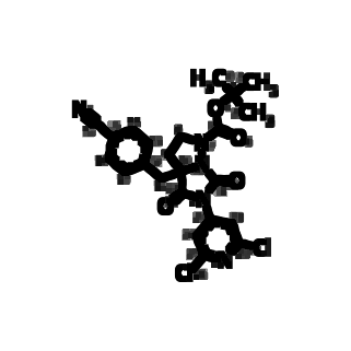 CC(C)(C)OC(=O)N1CCC2(Cc3ccc(C#N)cc3)C(=O)N(c3cc(Cl)nc(Cl)c3)C(=O)N12